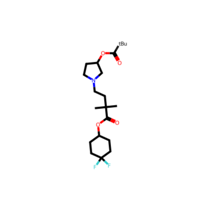 CC(C)(C)C(=O)OC1CCN(CCC(C)(C)C(=O)OC2CCC(F)(F)CC2)C1